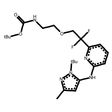 Cc1cc(Nc2cccc(C(F)(F)COCCNC(=O)OC(C)(C)C)n2)n(C(C)(C)C)n1